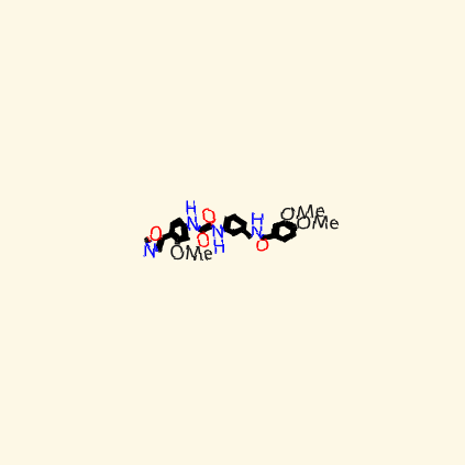 COc1ccc(C(=O)NCc2cccc(NC(=O)C(=O)Nc3ccc(-c4cnco4)c(OC)c3)c2)cc1OC